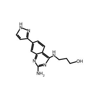 Nc1nc(NCCCO)c2ccc(-c3cc[nH]n3)cc2n1